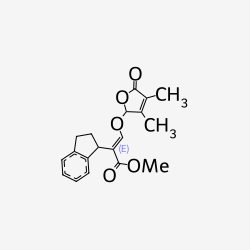 COC(=O)/C(=C/OC1OC(=O)C(C)=C1C)C1CCc2ccccc21